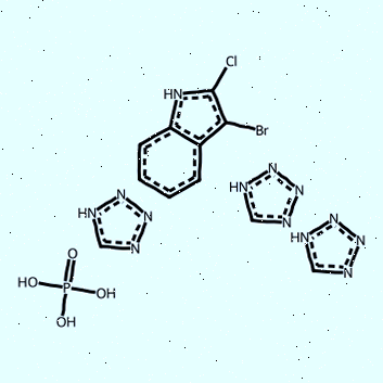 Clc1[nH]c2ccccc2c1Br.O=P(O)(O)O.c1nnn[nH]1.c1nnn[nH]1.c1nnn[nH]1